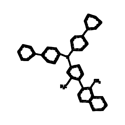 Cc1cc(N(c2ccc(-c3ccccc3)cc2)c2ccc(-c3ccccc3)cc2)ccc1-c1ccc2ccccc2c1C